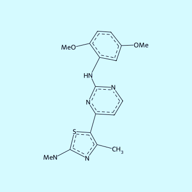 CNc1nc(C)c(-c2ccnc(Nc3cc(OC)ccc3OC)n2)s1